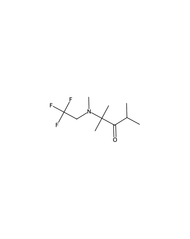 CC(C)C(=O)C(C)(C)N(C)CC(F)(F)F